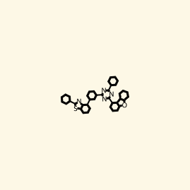 c1ccc(-c2nc(-c3cccc(-c4cccc5sc(-c6ccccc6)nc45)c3)nc(-c3cccc4oc5ccccc5c34)n2)cc1